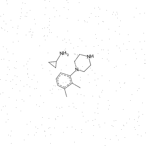 Cc1cccc(N2CCNCC2)c1C.NC1CC1